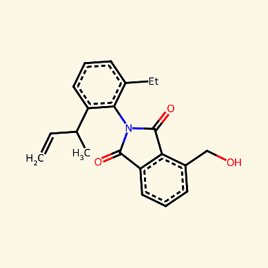 C=CC(C)c1cccc(CC)c1N1C(=O)c2cccc(CO)c2C1=O